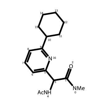 CNC(=O)C(NC(C)=O)c1cccc(C2CCCCC2)n1